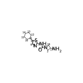 NC1CN(C(=O)Nc2ncc(C3CCCCC3)s2)C1